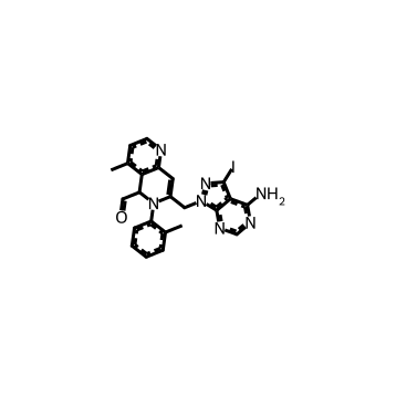 Cc1ccccc1N1C(Cn2nc(I)c3c(N)ncnc32)=Cc2nccc(C)c2C1C=O